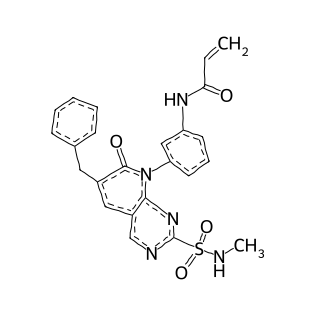 C=CC(=O)Nc1cccc(-n2c(=O)c(Cc3ccccc3)cc3cnc(S(=O)(=O)NC)nc32)c1